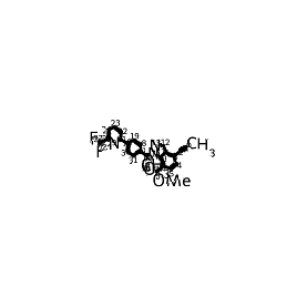 CC#Cc1ccc(C(=O)OC)c2c1cnn2[C@H](C)c1ccc(-c2cccc(C(F)F)n2)cc1